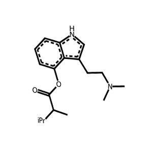 CC(C)C(C)C(=O)Oc1cccc2[nH]cc(CCN(C)C)c12